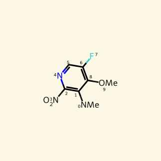 CNc1c([N+](=O)[O-])ncc(F)c1OC